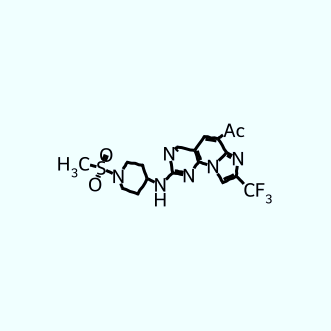 CC(=O)c1cc2cnc(NC3CCN(S(C)(=O)=O)CC3)nc2n2cc(C(F)(F)F)nc12